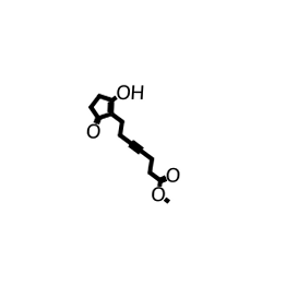 COC(=O)CCC#CCCC1=C(O)CCC1=O